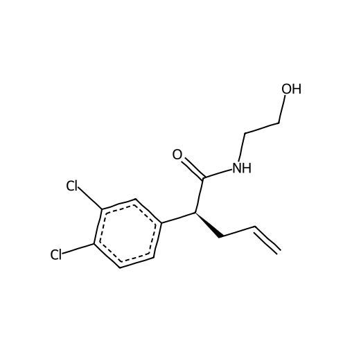 C=CC[C@H](C(=O)NCCO)c1ccc(Cl)c(Cl)c1